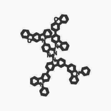 c1ccc(-n2c3ccccc3c3cc(-c4ccc5c(c4)c4cc(-c6ccc7c(c6)c6ccccc6n7-c6ccccc6)ccc4n5-c4nc(-n5c6ccccc6c6cc(-c7ccc8oc9ccccc9c8c7)ccc65)c5cc(-n6c7ccccc7c7cc8c(cc76)oc6ccccc68)ccc5n4)ccc32)cc1